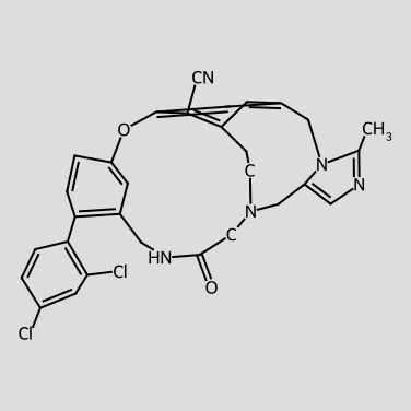 Cc1ncc2n1Cc1cc3c(C#N)c(c1)Oc1ccc(-c4ccc(Cl)cc4Cl)c(c1)CNC(=O)CN(CC3)C2